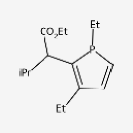 CCOC(=O)C(c1c(CC)ccp1CC)C(C)C